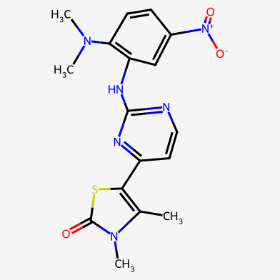 Cc1c(-c2ccnc(Nc3cc([N+](=O)[O-])ccc3N(C)C)n2)sc(=O)n1C